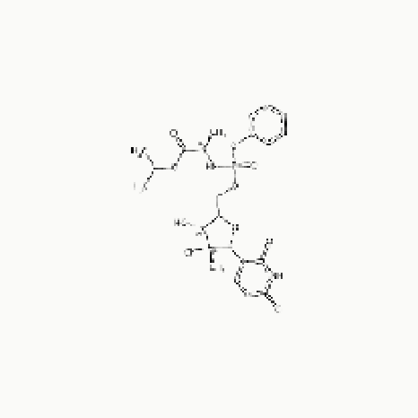 CC(C)OC(=O)[C@@H](C)NP(=O)(OCC1OC(n2ccc(=O)[nH]c2=O)[C@](C)(Cl)[C@@H]1O)Oc1ccccc1